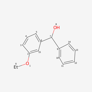 CCOc1cccc(C(O)c2ccccc2)c1